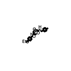 CCOc1ccc(-c2nc(CS(=O)(=O)CC(=O)NCc3ccc(C)cc3)c(C)o2)cc1